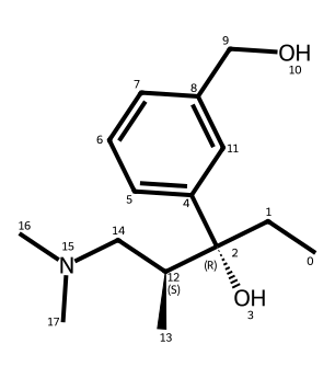 CC[C@](O)(c1cccc(CO)c1)[C@@H](C)CN(C)C